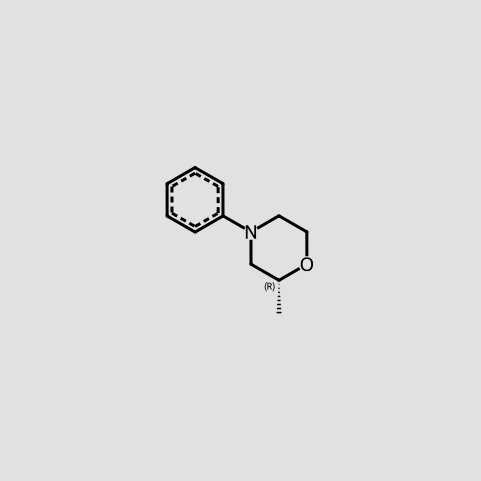 C[C@@H]1CN(c2ccccc2)CCO1